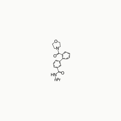 CCCNC(=O)c1cccc(-c2[c]cccc2C(=O)N2CCOCC2)c1